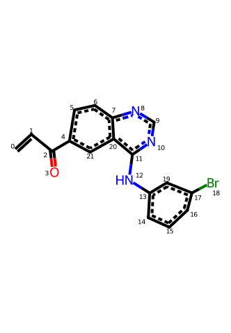 C=CC(=O)c1ccc2ncnc(Nc3cccc(Br)c3)c2c1